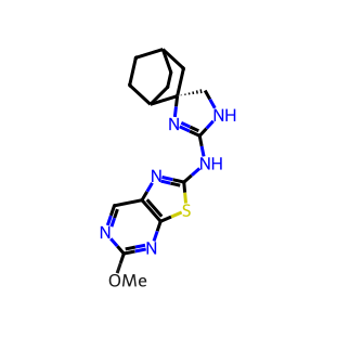 COc1ncc2nc(NC3=N[C@]4(CN3)CC3CCC4CC3)sc2n1